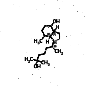 CC1CCC(O)[C@@H]2CC[C@H]([C@H](C)CCCC(C)(C)O)[C@@H]12